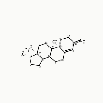 C[C@H]1CCC2C3CCC4=CC(=N)CC[C@]4(C)C3CC[C@@]21C